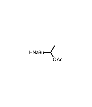 CCCCC(C)OC(C)=O.[NaH]